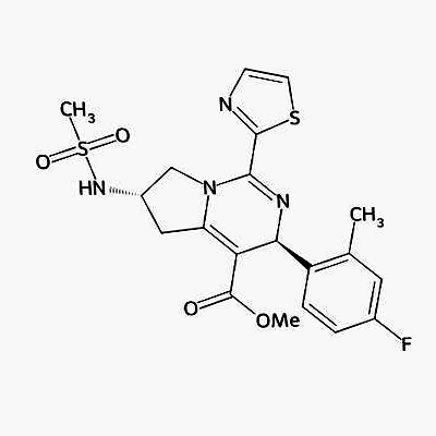 COC(=O)C1=C2C[C@H](NS(C)(=O)=O)CN2C(c2nccs2)=N[C@H]1c1ccc(F)cc1C